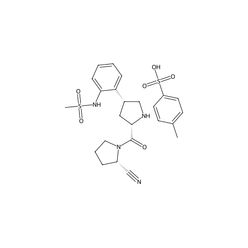 CS(=O)(=O)Nc1ccccc1[C@@H]1CN[C@H](C(=O)N2CCC[C@H]2C#N)C1.Cc1ccc(S(=O)(=O)O)cc1